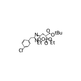 CCOP(=O)(OCC)[C@@H](Cc1nc(Cc2ccc(Cl)cc2)no1)C(=O)OC(C)(C)C